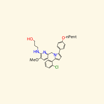 CCCCCOc1ccc(-c2ccc(-c3ccccc3Cl)n2Cc2ccc(OC)c(NCCCO)n2)cc1